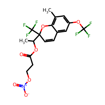 Cc1cc(OC(F)(F)F)cc2c1OC(C(C)OC(=O)CCO[N+](=O)[O-])(C(F)(F)F)C=C2